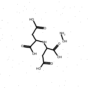 NO.O=C(O)CC(NC(CC(=O)O)C(=O)O)C(=O)O